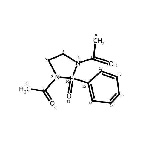 CC(=O)N1CCN(C(C)=O)P1(=O)c1ccccc1